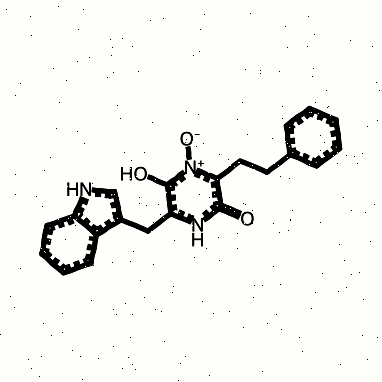 O=c1[nH]c(Cc2c[nH]c3ccccc23)c(O)[n+]([O-])c1CCc1ccccc1